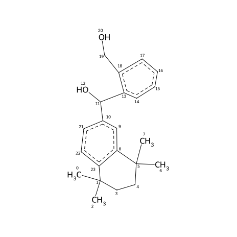 CC1(C)CCC(C)(C)c2cc(C(O)c3ccccc3CO)ccc21